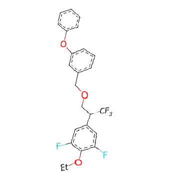 CCOc1c(F)cc(C(COCc2cccc(Oc3ccccc3)c2)C(F)(F)F)cc1F